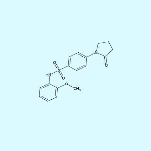 COc1ccccc1NS(=O)(=O)c1ccc(N2CCCC2=O)cc1